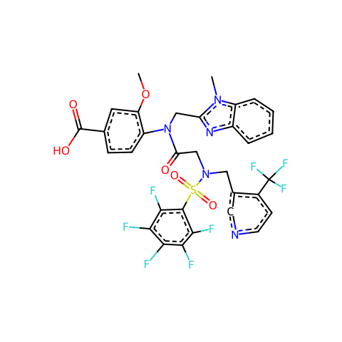 COc1cc(C(=O)O)ccc1N(Cc1nc2ccccc2n1C)C(=O)CN(Cc1cnccc1C(F)(F)F)S(=O)(=O)c1c(F)c(F)c(F)c(F)c1F